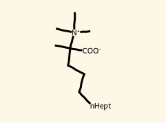 CCCCCCCCCCC(C)(C(=O)[O-])[N+](C)(C)C